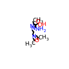 CCc1nn(CCCN2C[C@@H](C)O[C@@H](C)C2)c(N)c1C(=O)O